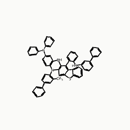 Cc1cc(-c2ccccc2)ccc1N1c2ccc(N(c3ccccc3)c3ccccc3)cc2Bc2c1cc1sc3ccccc3c1c2-c1ccccc1Nc1cccc(-c2ccccc2)c1